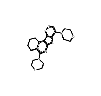 C1CCc2c(c(N3CCOCC3)nc3sc4c(N5CCOCC5)nnnc4c23)C1